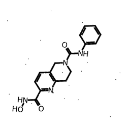 O=C(NO)c1ccc2c(n1)CCN(C(=O)Nc1ccccc1)C2